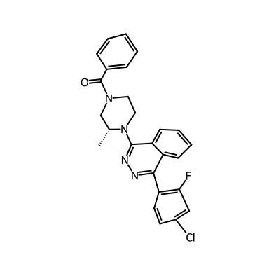 C[C@@H]1CN(C(=O)c2ccccc2)CCN1c1nnc(-c2ccc(Cl)cc2F)c2ccccc12